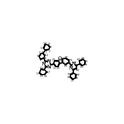 c1ccc(-c2cccc(-c3nc(-c4ccccc4)nc(-c4ccc5c(c4)oc4ccc(-c6nc(-c7ccccc7)cc(-c7ccccc7)n6)cc45)n3)c2)cc1